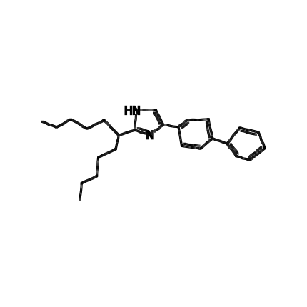 CCCCCC(CCCCC)c1nc(-c2ccc(-c3ccccc3)cc2)c[nH]1